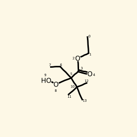 CCOC(=O)C(CC)(OO)C(C)(C)C